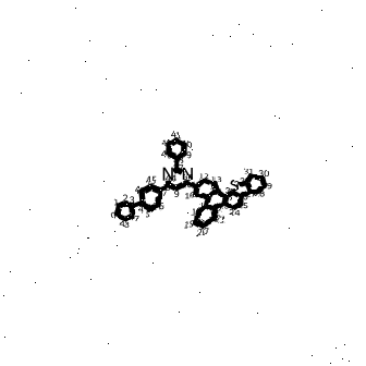 c1ccc(-c2ccc(-c3cc(-c4ccc5c(c4)c4ccccc4c4ccc6c7ccccc7sc6c45)nc(-c4ccccc4)n3)cc2)cc1